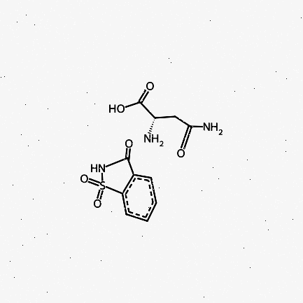 NC(=O)C[C@H](N)C(=O)O.O=C1NS(=O)(=O)c2ccccc21